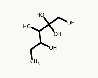 CCC(O)C(O)C(O)(O)CO